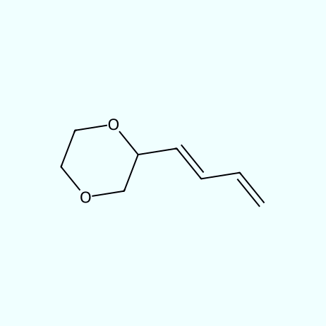 C=CC=CC1COCCO1